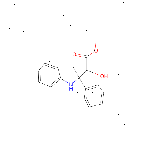 COC(=O)C(O)C(C)(Nc1ccccc1)c1ccccc1